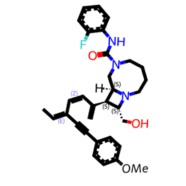 C=C(/C=C\C(C#Cc1ccc(OC)cc1)=C/C)[C@@H]1[C@@H](CO)N2CCCCN(C(=O)Nc3ccccc3F)C[C@H]12